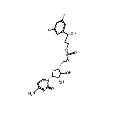 Nc1ccn([C@@H]2O[C@H](CO[PH](=O)OCC[C@@H](O)c3cc(F)cc(F)c3)[C@@H](O)[C@@H]2O)c(=O)n1